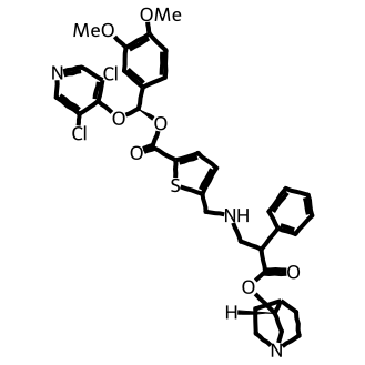 COc1ccc([C@@H](OC(=O)c2ccc(CNCC(C(=O)O[C@H]3CN4CCC3CC4)c3ccccc3)s2)Oc2c(Cl)cncc2Cl)cc1OC